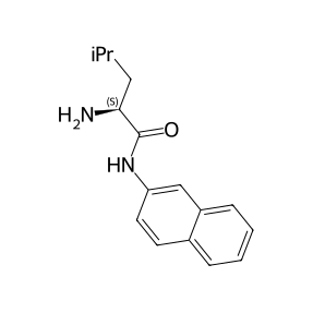 CC(C)C[C@H](N)C(=O)Nc1ccc2ccccc2c1